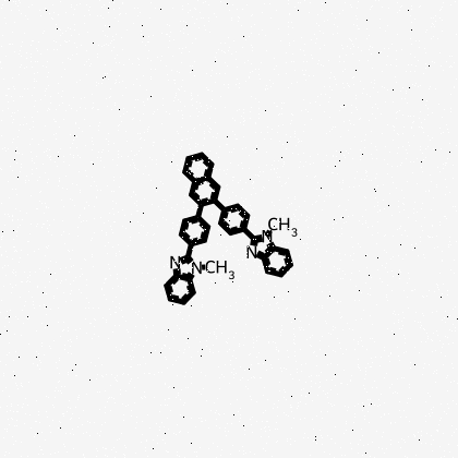 Cn1c(-c2ccc(-c3cc4ccccc4cc3-c3ccc(-c4nc5ccccc5n4C)cc3)cc2)nc2ccccc21